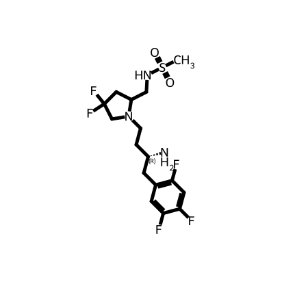 CS(=O)(=O)NCC1CC(F)(F)CN1CC[C@H](N)Cc1cc(F)c(F)cc1F